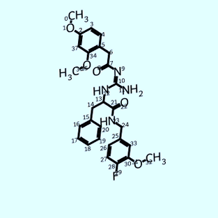 COc1ccc(CC(=O)N=C(N)NC(Cc2ccccc2)C(=O)NCc2ccc(F)c(OC)c2)c(OC)c1